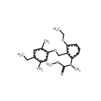 CCOc1cccc(N(C)C(=O)SC)c1COc1cc(C)c(CC)cc1C